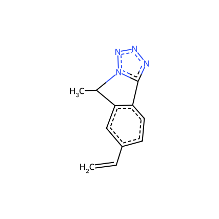 C=Cc1ccc2c(c1)C(C)n1nnnc1-2